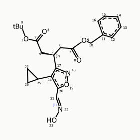 CC(C)(C)OC(=O)C[C@@H](CC(=O)OCc1ccccc1)c1noc(/C=N/O)c1C1CC1